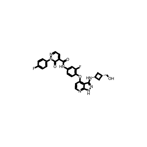 O=C(Nc1ccc(Oc2ccnc3[nH]nc(N[C@H]4C[C@@H](CO)C4)c23)c(F)c1)c1ccnn(-c2ccc(F)cc2)c1=O